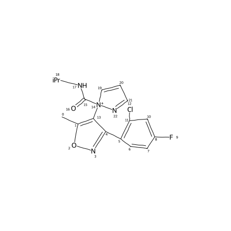 Cc1onc(-c2ccc(F)cc2Cl)c1[N+]1(C(=O)NC(C)C)C=CC=N1